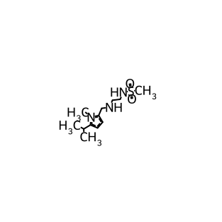 CC(C)c1ccc(CNCCNS(C)(=O)=O)n1C